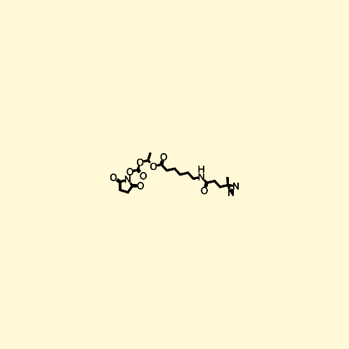 CC(OC(=O)CCCCCNC(=O)CCC1(C)N=N1)OC(=O)ON1C(=O)CCC1=O